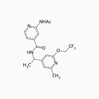 CC(=O)Nc1cc(C(=O)NC(C)c2cc(C)nc(OCC(F)(F)F)c2)ccn1